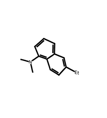 CCc1ccc2c(N(C)C)cccc2c1